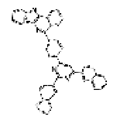 c1ccc2cc(-c3cc(-c4ccc(-c5nc6c(nc7ccccn76)c6ccccc56)cc4)nc(-c4ccc5ccccc5c4)n3)ccc2c1